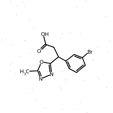 Cc1nnc(C(CC(=O)O)c2cccc(Br)c2)o1